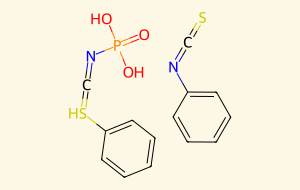 O=P(O)(O)N=C=[SH]c1ccccc1.S=C=Nc1ccccc1